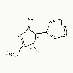 CCCCN1N=C(C(=O)OCC)[C@@H](C)[C@@H]1c1ccccc1